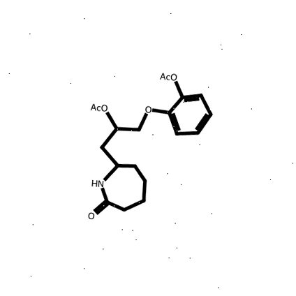 CC(=O)Oc1ccccc1OCC(CC1CCCCC(=O)N1)OC(C)=O